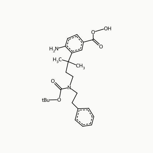 CC(C)(C)OC(=O)N(CCc1ccccc1)CCC(C)(C)c1cc(C(=O)OO)ccc1N